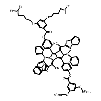 CCCCCOc1cc(OCCCCC)cc(C(=O)Oc2ccc(C3=c4c(c(-c5ccc(OC(=O)c6cc(OCCCCNCC)cc(OCCCCN(CC)CC)c6)cc5)n(B(c5ccccc5)c5ccccc5)/c4=C(/C#N)c4nc5ccccc5s4)/C(=C(\C#N)c4nc5ccccc5s4)C3B(C)c3ccccc3)cc2)c1